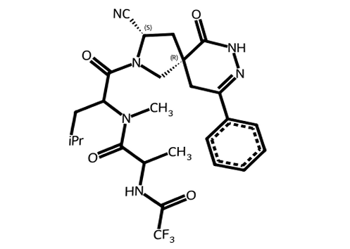 CC(C)CC(C(=O)N1C[C@]2(CC(c3ccccc3)=NNC2=O)C[C@H]1C#N)N(C)C(=O)C(C)NC(=O)C(F)(F)F